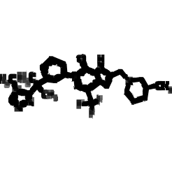 C[C@H]1CCCN(Cc2cc3c(C(F)(F)F)cn(-c4cccc(C(C)(C)c5nncn5C)c4)c(=O)c3[nH]2)C1